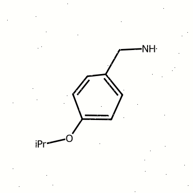 CC(C)Oc1ccc(C[NH])cc1